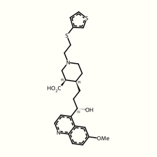 COc1ccc2nccc([C@@H](O)CC[C@@H]3CCN(CCSc4ccsc4)C[C@@H]3C(=O)O)c2c1